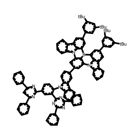 CC(C)(C)c1cc(-c2cc3c4c(c2)c2ccccc2n4-c2cc(-c4ccc5c(c4)c4ccccc4n5-c4ccc(-c5nc(-c6ccccc6)cc(-c6ccccc6)n5)cc4-c4nc(-c5ccccc5)nc(-c5ccccc5)n4)cc4c2B3c2cc(-c3cc(C(C)(C)C)cc(C(C)(C)C)c3)cc3c5ccccc5n-4c23)cc(C(C)(C)C)c1